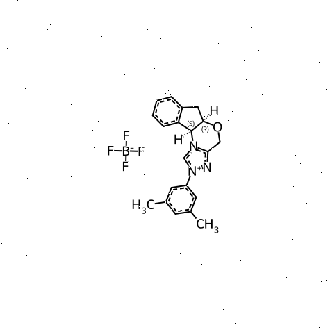 Cc1cc(C)cc(-[n+]2cn3c(n2)CO[C@@H]2Cc4ccccc4[C@@H]23)c1.F[B-](F)(F)F